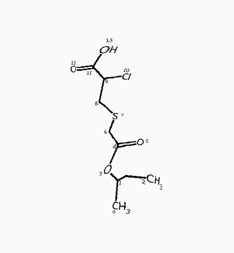 CC(C)OC(=O)CSCC(Cl)C(=O)O